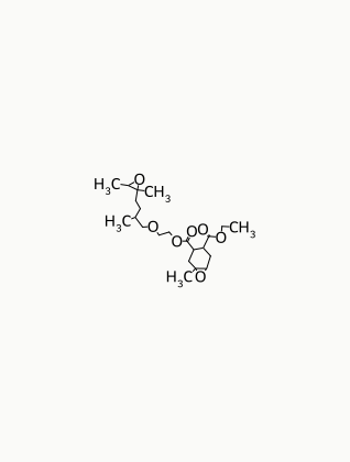 CCOC(=O)C1CC2OC2(C)CC1C(=O)OCCOCC(C)CCC1(C)OC1C